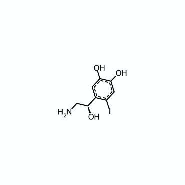 NC[C@H](O)c1cc(O)c(O)cc1I